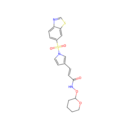 O=C(C=Cc1ccn(S(=O)(=O)c2ccc3ncsc3c2)c1)NOC1CCCCO1